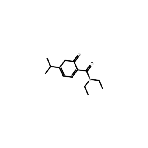 CCN(CC)C(=O)C1=CC=C(C(C)C)CC1=S